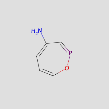 NC1=CC=COP=C1